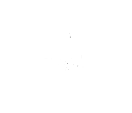 CC1(C)CC(OC(=O)Cl)CC(C)(C)N1OC1CCCCC1.Cl